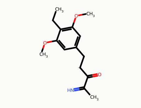 CCc1c(OC)cc(C[CH]C(=O)C(C)=N)cc1OC